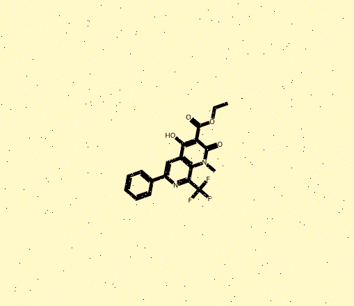 CCOC(=O)c1c(O)c2cc(-c3ccccc3)nc(C(F)(F)F)c2n(C)c1=O